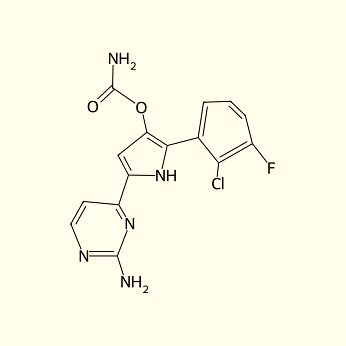 NC(=O)Oc1cc(-c2ccnc(N)n2)[nH]c1-c1cccc(F)c1Cl